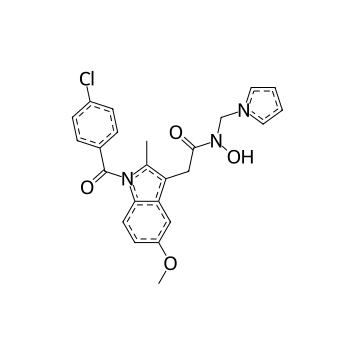 COc1ccc2c(c1)c(CC(=O)N(O)Cn1cccc1)c(C)n2C(=O)c1ccc(Cl)cc1